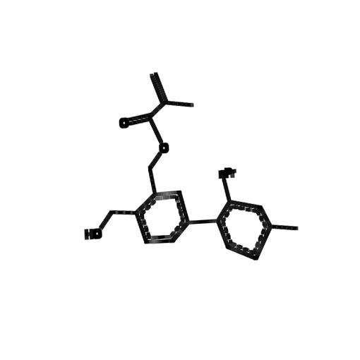 C=C(C)C(=O)OCc1cc(-c2ccc(C)cc2CCC)ccc1CO